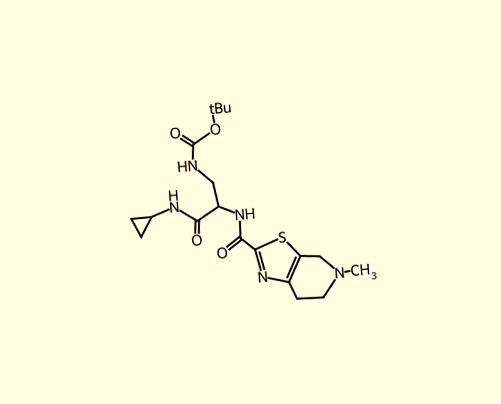 CN1CCc2nc(C(=O)NC(CNC(=O)OC(C)(C)C)C(=O)NC3CC3)sc2C1